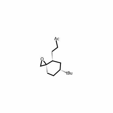 CC(=O)CC[C@@H]1C[C@H](C(C)(C)C)CC[C@@]12CO2